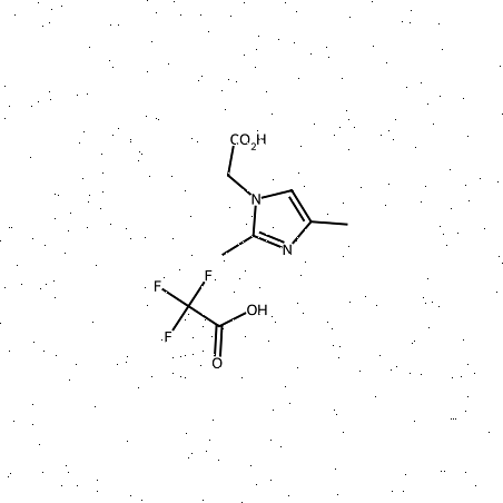 Cc1cn(CC(=O)O)c(C)n1.O=C(O)C(F)(F)F